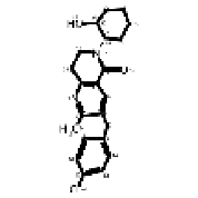 Cc1nc2c(cc1Cc1ccc(Cl)cc1)C(=O)N([C@H]1CCCC[C@@H]1O)CC2